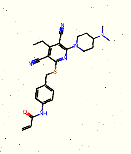 C=CC(=O)Nc1ccc(CSc2nc(N3CCC(N(C)C)CC3)c(C#N)c(CC)c2C#N)cc1